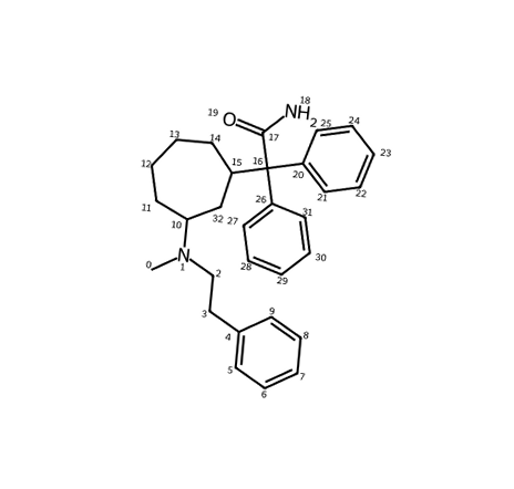 CN(CCc1ccccc1)C1CCCCC(C(C(N)=O)(c2ccccc2)c2ccccc2)C1